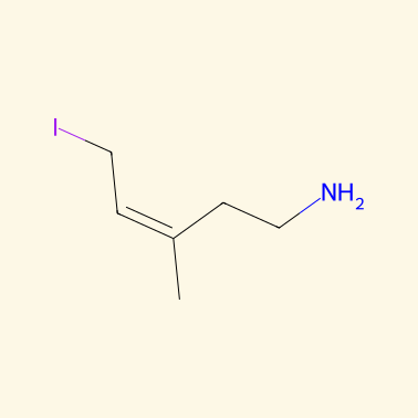 C/C(=C/CI)CCN